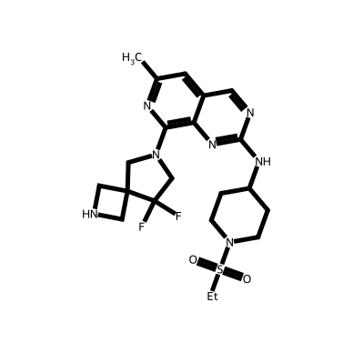 CCS(=O)(=O)N1CCC(Nc2ncc3cc(C)nc(N4CC(F)(F)C5(CNC5)C4)c3n2)CC1